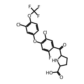 O=C(O)C1CCC(C(=O)c2cc(Cl)c(Oc3ccc(OC(F)(F)F)c(Cl)c3)cc2F)N1